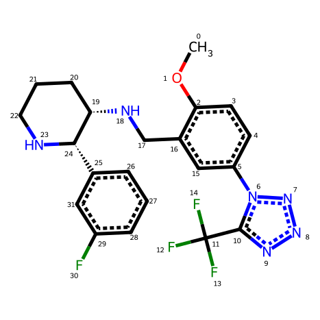 COc1ccc(-n2nnnc2C(F)(F)F)cc1CN[C@H]1CCCN[C@H]1c1cccc(F)c1